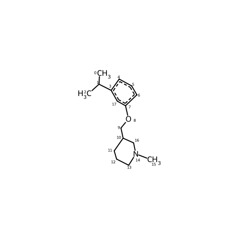 CC(C)c1cccc(OCC2CCCN(C)C2)c1